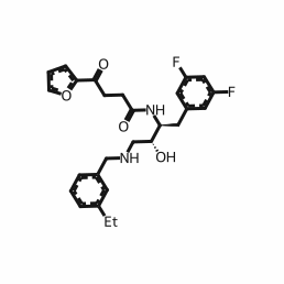 CCc1cccc(CNC[C@@H](O)[C@H](Cc2cc(F)cc(F)c2)NC(=O)CCC(=O)c2ccco2)c1